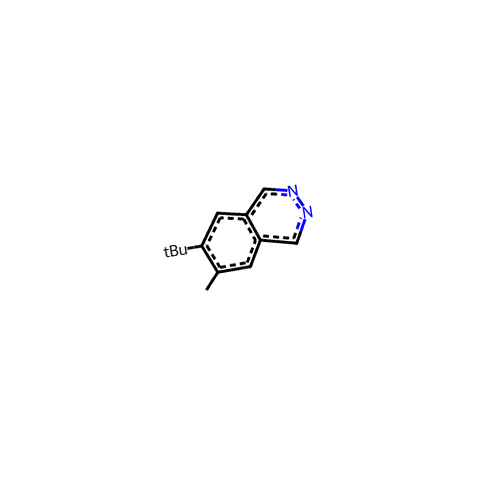 Cc1cc2cnncc2cc1C(C)(C)C